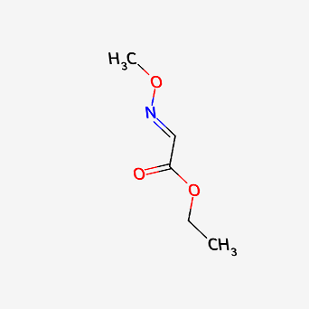 CCOC(=O)C=NOC